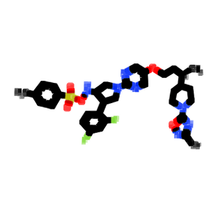 Cc1ccc(S(=O)(=O)ONC2CN(c3ncc(OCC[C@@H](C)C4CCN(c5nc(C(C)C)no5)CC4)cn3)CC2c2ccc(F)cc2F)cc1